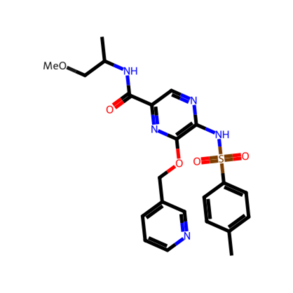 COCC(C)NC(=O)c1cnc(NS(=O)(=O)c2ccc(C)cc2)c(OCc2cccnc2)n1